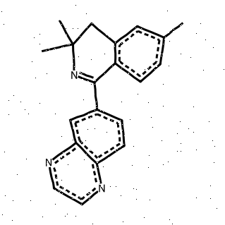 Cc1ccc2c(c1)CC(C)(C)N=C2c1ccc2nccnc2c1